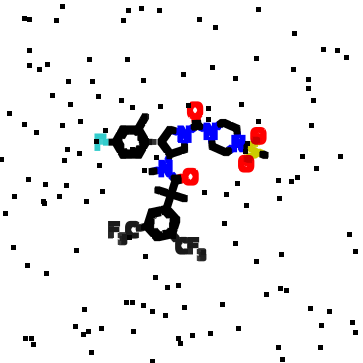 Cc1cc(F)ccc1[C@@H]1CN(C(=O)N2CCN(S(C)(=O)=O)CC2)C[C@H]1N(C)C(=O)C(C)(C)c1cc(C(F)(F)F)cc(C(F)(F)F)c1